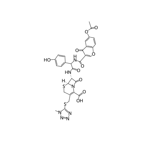 CC(=O)Oc1ccc2occ(C(=O)NC(C(=O)N[C@@H]3C(=O)N4C(C(=O)O)=C(CSc5nnnn5C)CS[C@@H]34)c3ccc(O)cc3)c(=O)c2c1